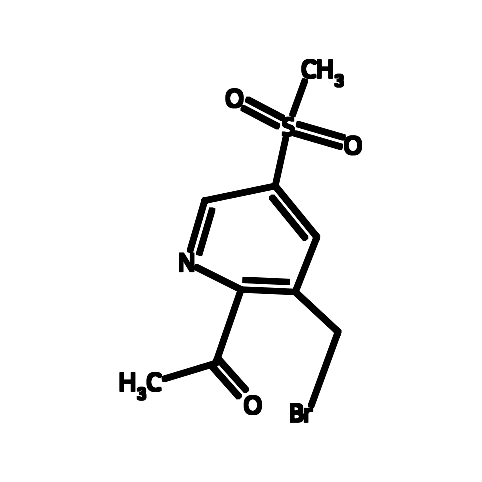 CC(=O)c1ncc(S(C)(=O)=O)cc1CBr